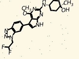 COc1nc(N[C@H]2CC[C@](C)(O)CC2)nc2[nH]cc(-c3ccc4nnn(CC(F)F)c4c3)c12